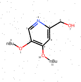 CCCCOc1cnc(CO)cc1OCCCC